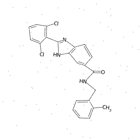 Cc1ccccc1CNC(=O)c1ccc2nc(-c3c(Cl)cccc3Cl)[nH]c2c1